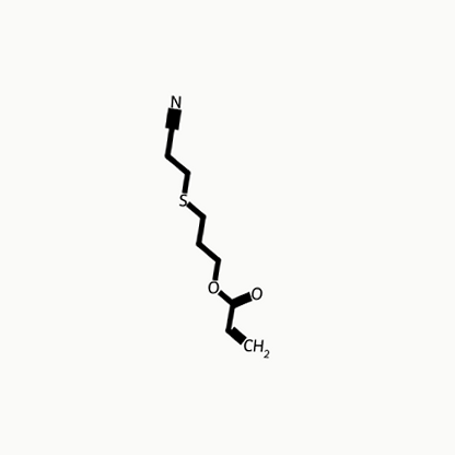 C=CC(=O)OCCCSCCC#N